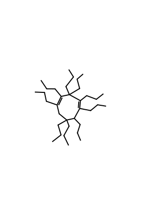 CCC/C1=C(\CCC)C(CCC)(CCC)/C(CCC)=C(/CCC)C(CCC)C(CCC)(CCC)C1